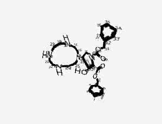 O=C(OCc1ccccc1)[C@@H]1[C@@H](O)[C@H](N2CCNCCNCCNCC2)CN1C(=O)OCc1ccccc1